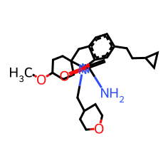 COC1CCC2(CC1)Cc1ccc(CCC3CC3)cc1C21N=C(N)N(CC2CCOCC2)C1=O